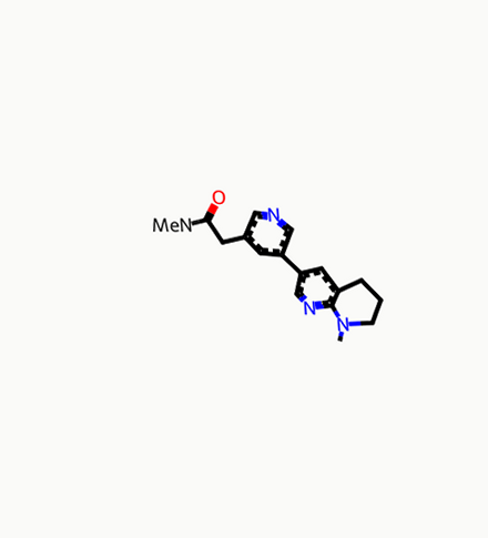 CNC(=O)Cc1cncc(-c2cnc3c(c2)CCCN3C)c1